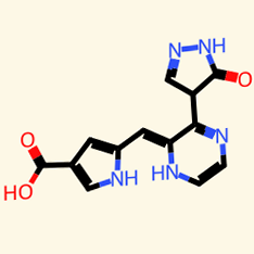 O=C(O)c1c[nH]c(C=C2NC=CN=C2C2C=NNC2=O)c1